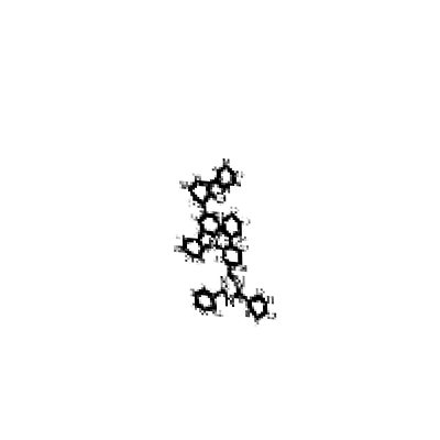 c1ccc(-c2nc(-c3ccccc3)nc(-c3ccc(-c4ccccc4)c(-n4c5ccccc5c5cc(-c6cccc7c6oc6ccccc67)ccc54)c3)n2)cc1